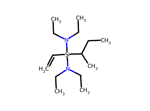 C=C[Si](C(C)CC)(N(CC)CC)N(CC)CC